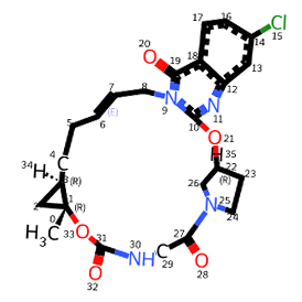 C[C@@]12C[C@H]1CC/C=C/Cn1c(nc3cc(Cl)ccc3c1=O)O[C@@H]1CCN(C1)C(=O)CNC(=O)O2